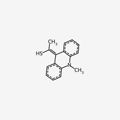 CC(S)=C1c2ccccc2N(C)c2ccccc21